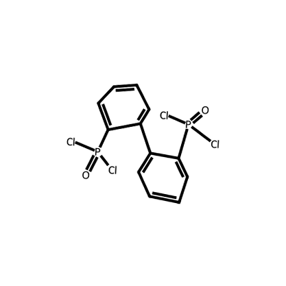 O=P(Cl)(Cl)c1ccccc1-c1ccccc1P(=O)(Cl)Cl